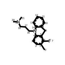 Cc1ccc2c(c1F)Cc1ccccc1N2CCCN(C)C